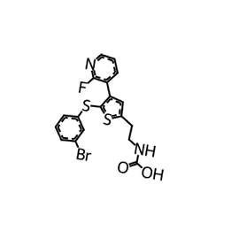 O=C(O)NCCc1cc(-c2cccnc2F)c(Sc2cccc(Br)c2)s1